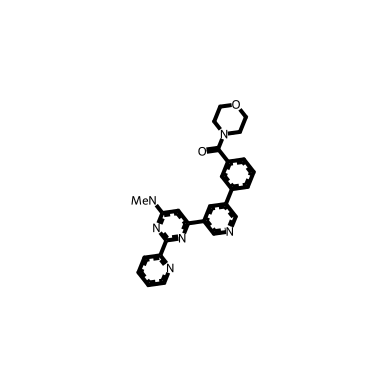 CNc1cc(-c2cncc(-c3cccc(C(=O)N4CCOCC4)c3)c2)nc(-c2ccccn2)n1